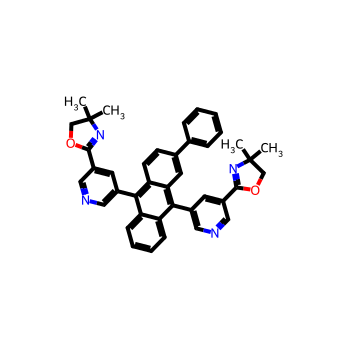 CC1(C)COC(c2cncc(-c3c4ccccc4c(-c4cncc(C5=NC(C)(C)CO5)c4)c4cc(-c5ccccc5)ccc34)c2)=N1